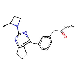 COC(=O)Cc1cccc(-c2nc(N3CC[C@@H]3C)nc3c2CCC3)c1